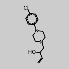 C=CC(O)CN1CCN(c2ccc(Cl)cc2)CC1